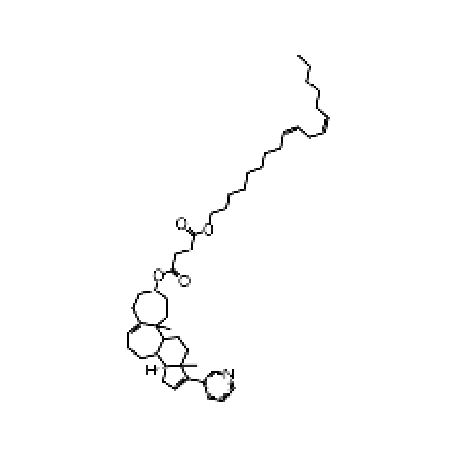 CCCCC/C=C\C/C=C\CCCCCCCCOC(=O)CCC(=O)OC1CCC2=CCCC3C(CCC4(C)C(c5cccnc5)=CC[C@@H]34)C2(C)CC1